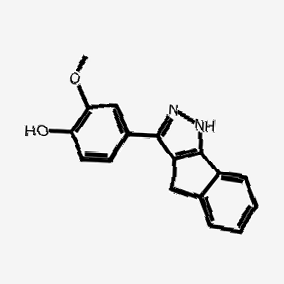 COc1cc(-c2n[nH]c3c2Cc2ccccc2-3)ccc1O